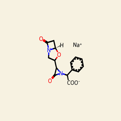 O=C([O-])C(c1ccccc1)N1C(=O)C1C1CN2C(=O)C[C@H]2O1.[Na+]